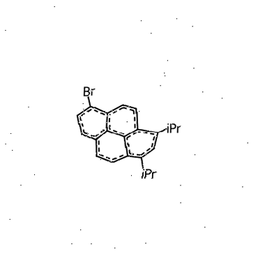 CC(C)c1cc(C(C)C)c2ccc3c(Br)ccc4ccc1c2c43